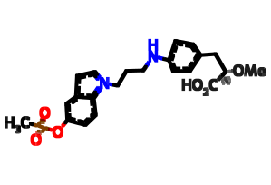 CO[C@@H](Cc1ccc(NCCCn2ccc3cc(OS(C)(=O)=O)ccc32)cc1)C(=O)O